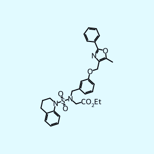 CCOC(=O)CN(Cc1cccc(OCc2nc(-c3ccccc3)oc2C)c1)S(=O)(=O)N1CCCc2ccccc21